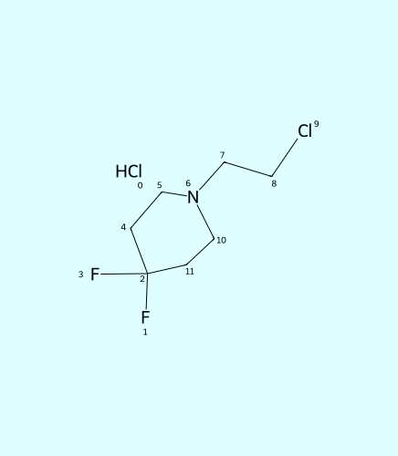 Cl.FC1(F)CCN(CCCl)CC1